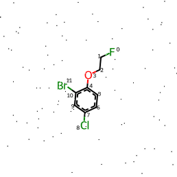 FCCOc1ccc(Cl)cc1Br